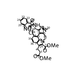 COC(=O)CCc1c(C(=O)OC)n(C)c2c(-c3c(CNS(=O)(=O)c4ccccc4[N+](=O)[O-])nn(C)c3C)c(Cl)ccc12